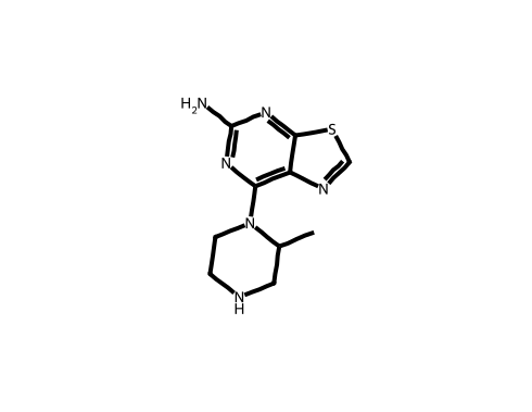 CC1CNCCN1c1nc(N)nc2scnc12